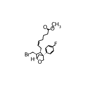 COC(=O)CCC/C=C\C[C@@H]1[C@H](CBr)[C@H]2C[C@]1(c1ccc(F)cc1)CO2